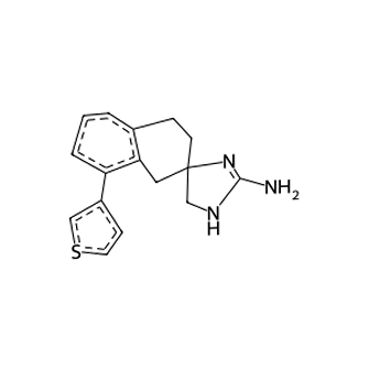 NC1=NC2(CCc3cccc(-c4ccsc4)c3C2)CN1